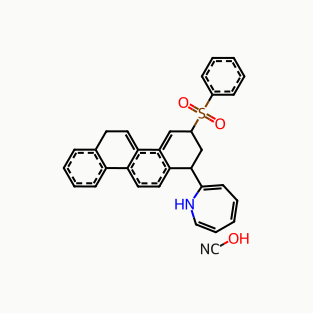 N#CO.O=S(=O)(c1ccccc1)C1C=c2c(ccc3c2=CCc2ccccc2-3)C(C2=CC=CC=CN2)C1